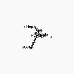 CCCCCCC/C=C/C=C/[C@@H](O)[C@H](COP(=O)(O)OCCN)NC(=O)C(O)CCCCCCCC/C=C\CCCCCCCC